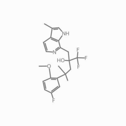 COc1ccc(F)cc1C(C)(C)CC(O)(Cc1nccc2c(C)c[nH]c12)C(F)(F)F